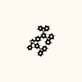 c1ccc(-c2ncc(-c3ccc(-c4cc(-n5c6ccccc6c6ccccc65)cc(-n5c6ccccc6c6ccccc65)c4)cc3)n2-c2ccc(-n3c4ccccc4c4ccccc43)cc2)cc1